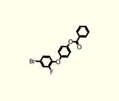 O=C(Oc1ccc(Oc2ccc(Br)cc2F)cc1)c1ccccc1